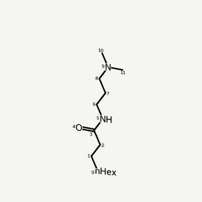 CCCCCCCCC(=O)NCCCN(C)C